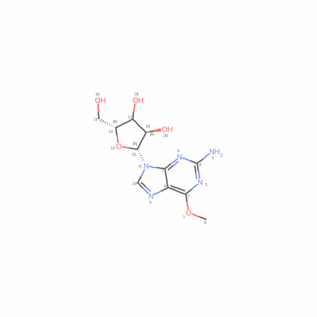 COc1nc(N)nc2c1ncn2[C@@H]1O[C@H](CO)C(O)[C@H]1O